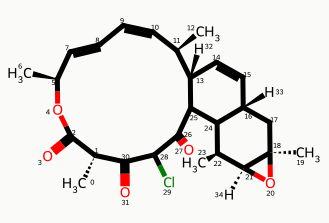 C[C@@H]1C(=O)O[C@@H](C)/C=C/C=C\[C@@H](C)[C@@H]2C=C[C@@H]3C[C@@]4(C)O[C@H]4[C@@H](C)C3C2C(=O)C(Cl)C1=O